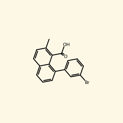 Cc1ccc2cccc(-c3cccc(Br)c3)c2c1C(=O)O